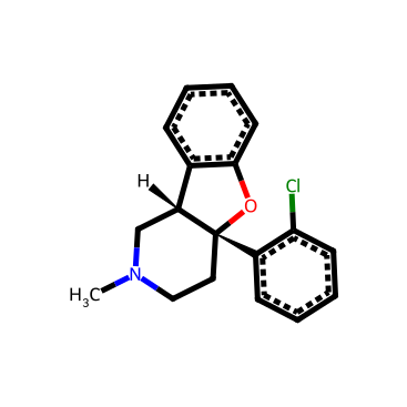 CN1CC[C@@]2(c3ccccc3Cl)Oc3ccccc3[C@H]2C1